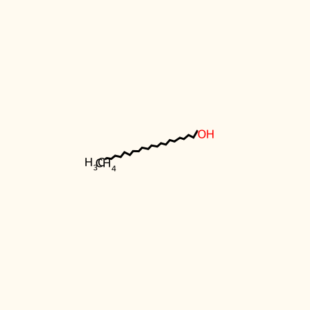 C.CCCCCCCCCCCCCCCCCCCCCCO